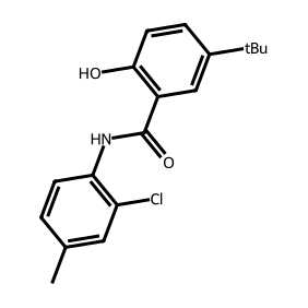 Cc1ccc(NC(=O)c2cc(C(C)(C)C)ccc2O)c(Cl)c1